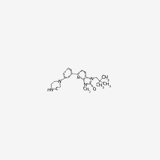 Cn1c(=O)n(CC(C)(C)C)c2ccc(-c3cccc(N4CCNCC4)c3)nc21